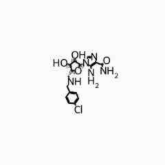 NC(=O)c1ncn([C@@H]2O[C@H](CNCc3ccc(Cl)cc3)[C@@H](O)[C@H]2O)c1N